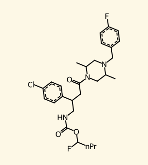 CCCC(F)OC(=O)NCC(CC(=O)N1CC(C)N(Cc2ccc(F)cc2)CC1C)c1ccc(Cl)cc1